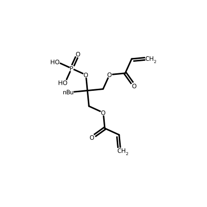 C=CC(=O)OCC(CCCC)(COC(=O)C=C)OP(=O)(O)O